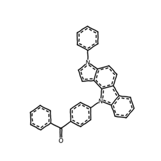 O=C(c1ccccc1)c1ccc(-n2c3ccccc3c3ccc4c(ccn4-c4ccccc4)c32)cc1